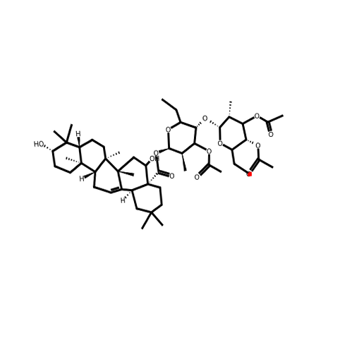 CCC1O[C@H](O[C@H]2C(CC)O[C@H](OC(=O)[C@]34CCC(C)(C)C[C@H]3C3=CC[C@@H]5[C@@]6(C)CC[C@H](O)C(C)(C)[C@@H]6CC[C@@]5(C)[C@]3(C)CC4O)[C@H](C)C2OC(C)=O)[C@H](C)C(OC(C)=O)[C@@H]1OC(C)=O